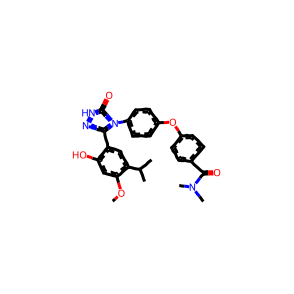 COc1cc(O)c(-c2n[nH]c(=O)n2-c2ccc(Oc3ccc(C(=O)N(C)C)cc3)cc2)cc1C(C)C